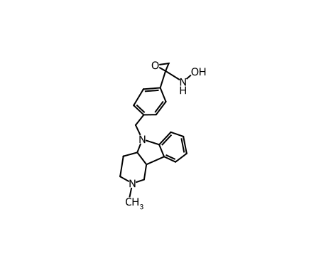 CN1CCC2C(C1)c1ccccc1N2Cc1ccc(C2(NO)CO2)cc1